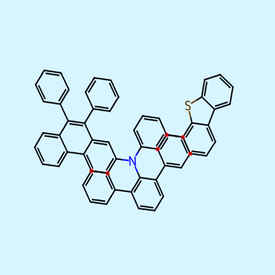 c1ccc(-c2cccc(-c3ccccc3)c2N(c2cccc(-c3cccc4c3sc3ccccc34)c2)c2ccc3c(c2)c(-c2ccccc2)c(-c2ccccc2)c2ccccc23)cc1